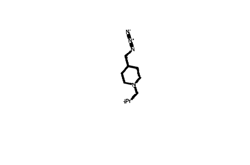 C[C](C)CN1CCC(CN=[N+]=[N-])CC1